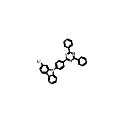 Brc1ccc2c3ccccc3n(-c3ccc(-c4nc(-c5ccccc5)nc(-c5ccccc5)n4)cc3)c2c1